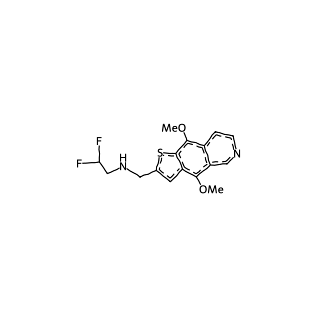 COc1c2cnccc2c(OC)c2sc(CNCC(F)F)cc12